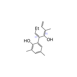 C=C/C(C)=C(O)\C(=C/CC)c1cc(C)cc(C)c1O